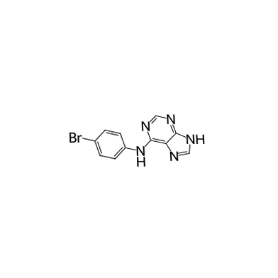 Brc1ccc(Nc2ncnc3[nH]cnc23)cc1